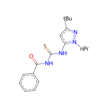 CCCn1nc(C(C)(C)C)cc1NC(=S)NC(=O)c1ccccc1